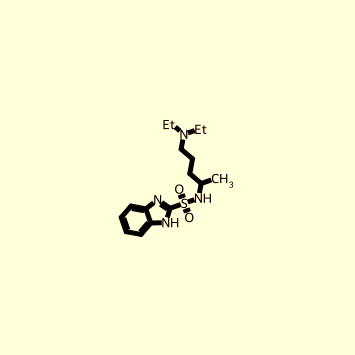 CCN(CC)CCCC(C)NS(=O)(=O)c1nc2ccccc2[nH]1